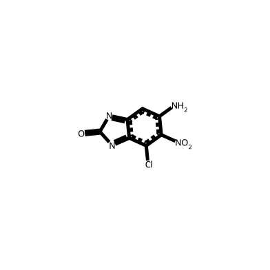 Nc1cc2c(c(Cl)c1[N+](=O)[O-])=NC(=O)N=2